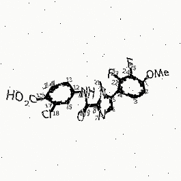 COc1ccc(-c2cnc(C(=O)Nc3ccc(C(=O)O)c(Cl)c3)n2C)c(F)c1F